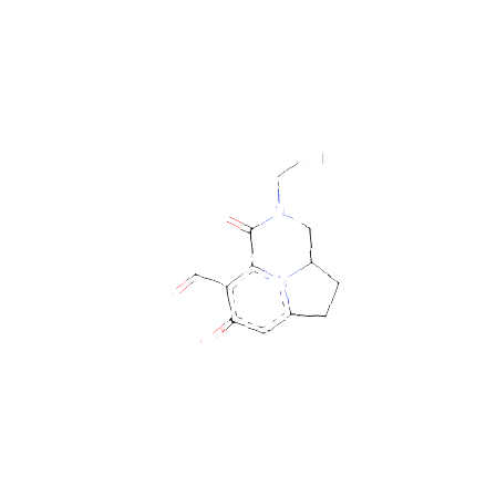 CCN1CC2CCc3cc(=O)c(C=O)c(n32)C1=O